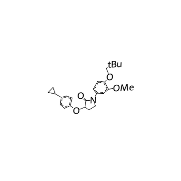 COc1cc(N2CCC(Oc3ccc(C4CC4)cc3)C2=O)ccc1OCC(C)(C)C